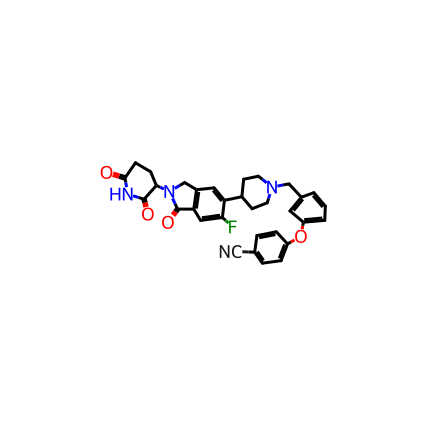 N#Cc1ccc(Oc2cccc(CN3CCC(c4cc5c(cc4F)C(=O)N(C4CCC(=O)NC4=O)C5)CC3)c2)cc1